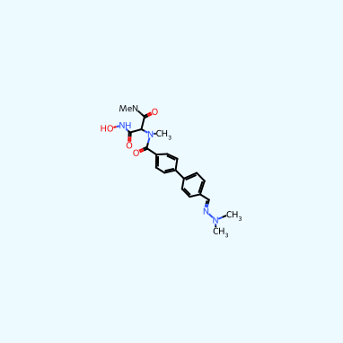 CNC(=O)C(C(=O)NO)N(C)C(=O)c1ccc(-c2ccc(/C=N/N(C)C)cc2)cc1